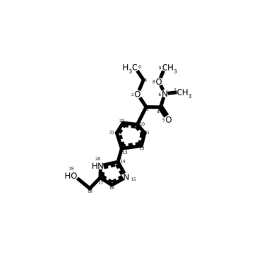 CCOC(C(=O)N(C)OC)c1ccc(-c2ncc(CO)[nH]2)cc1